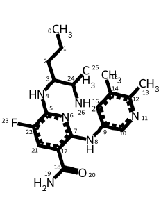 CCCC(Nc1nc(Nc2cnc(C)c(C)c2)c(C(N)=O)cc1F)C(C)N